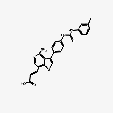 Cc1cccc(NC(=O)Nc2ccc(-c3csc4c(C=CC(=O)O)cnc(N)c34)cc2)c1